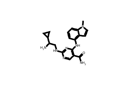 Cn1ccc2c(Nc3nc(NCC(N)C4CC4)ncc3C(N)=O)cccc21